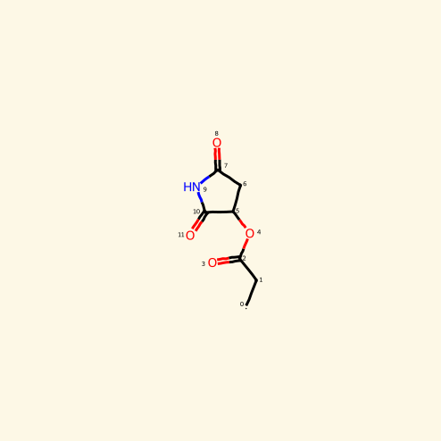 [CH2]CC(=O)OC1CC(=O)NC1=O